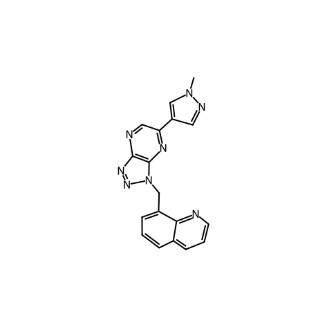 Cn1cc(-c2cnc3nnn(Cc4cccc5cccnc45)c3n2)cn1